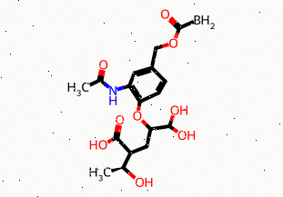 BC(=O)OCc1ccc(OC(CC(C(=O)O)[C@H](C)O)C(O)O)c(NC(C)=O)c1